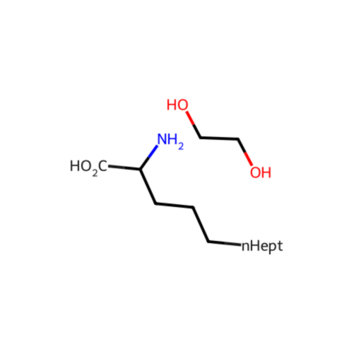 CCCCCCCCCCC(N)C(=O)O.OCCO